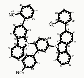 N#Cc1ccc(-c2cc(-n3c4ccccc4c4ccc(-c5ccccc5C#N)cc43)ncc2-n2c3ccccc3c3ccc(-c4ccccc4C#N)cc32)cc1